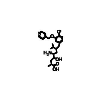 COc1ccc(CC(CC(N)C(O)CC(C)C(=O)O)C(C)C)cc1OCc1ccncc1